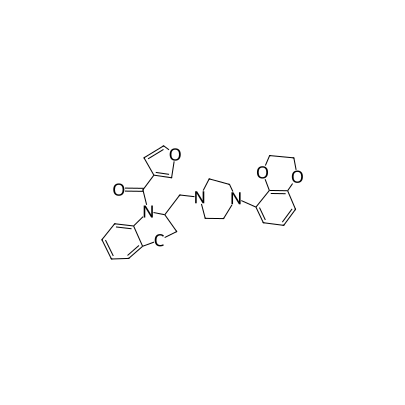 O=C(c1ccoc1)N1c2ccccc2CCC1CN1CCN(c2cccc3c2OCCO3)CC1